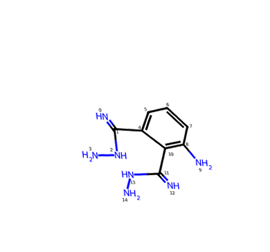 N=C(NN)c1cccc(N)c1C(=N)NN